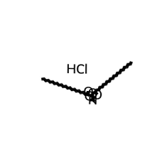 CCCCCCCCCCCCCCCCCCCCCC(=O)OC(CN(C)C)OC(=O)CCCCCCCCCCCCCCCCCCCCC.Cl